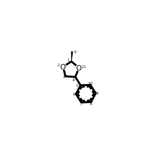 C[C@@H]1OCC(c2ccccc2)O1